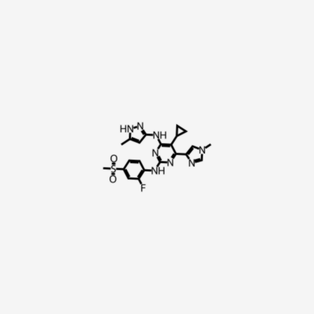 Cc1cc(Nc2nc(Nc3ccc(S(C)(=O)=O)cc3F)nc(-c3cn(C)cn3)c2C2CC2)n[nH]1